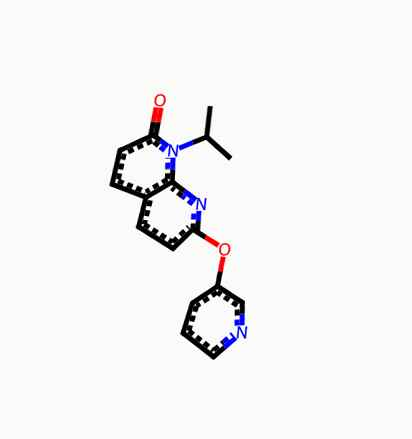 CC(C)n1c(=O)ccc2ccc(Oc3cccnc3)nc21